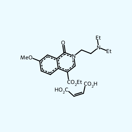 CCOC(=O)c1cn(CCN(CC)CC)c(=O)c2cc(OC)ccc12.O=C(O)/C=C\C(=O)O